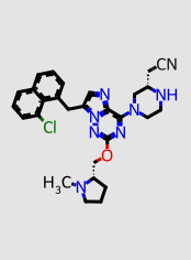 CN1CCC[C@H]1COc1nc(N2CCN[C@@H](CC#N)C2)c2ncc(Cc3cccc4cccc(Cl)c34)n2n1